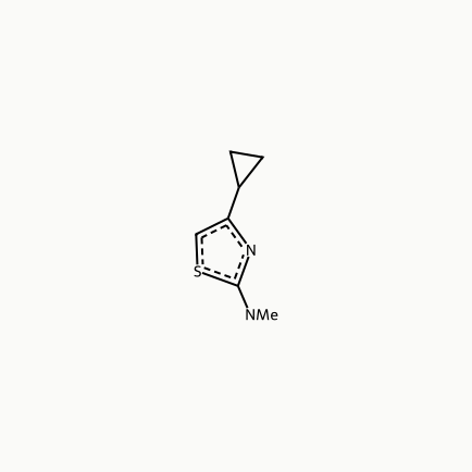 CNc1nc(C2CC2)cs1